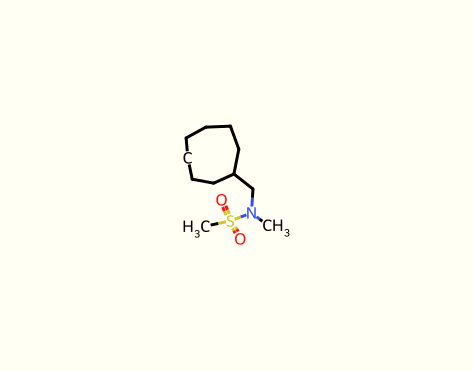 CN(CC1CCCCCCC1)S(C)(=O)=O